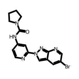 O=C(Nc1ccnc(-n2cc3cc(Br)cnc3n2)c1)N1CCCC1